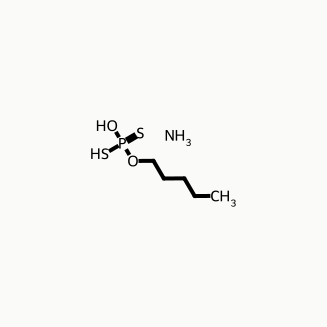 CCCCCOP(O)(=S)S.N